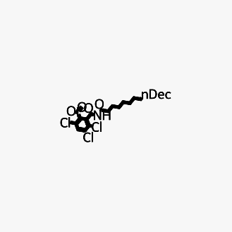 CCCCCCCCCCCCCCCCCC(=O)NC(=O)c1c(Cl)c(Cl)cc(Cl)c1I(=O)=O